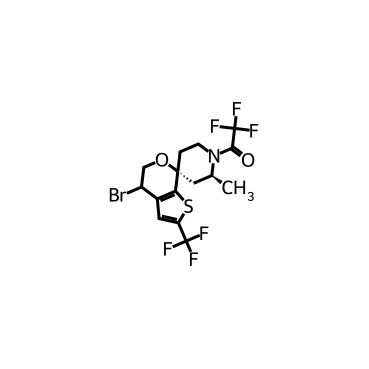 C[C@H]1C[C@@]2(CCN1C(=O)C(F)(F)F)OCC(Br)c1cc(C(F)(F)F)sc12